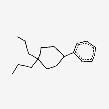 CCCC1(CCC)CCC(c2cc[c]cc2)CC1